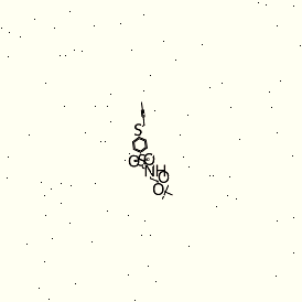 CC#CCSc1ccc(S(=O)(=O)CNCC(=O)OC(C)(C)C)cc1